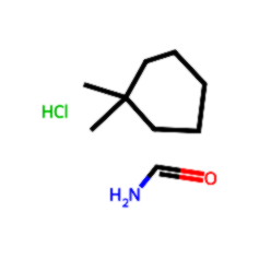 CC1(C)CCCCC1.Cl.NC=O